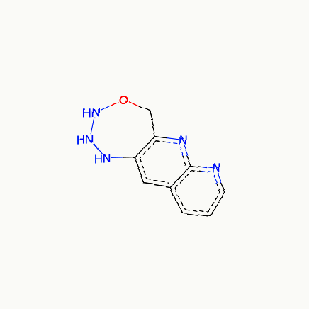 c1cnc2nc3c(cc2c1)NNNOC3